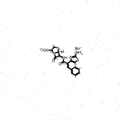 Nc1nc(/C(=C\c2ccccc2)C(=O)NC2C(=O)N3C(C(=O)[O-])CS[C@@H]23)cs1.[Na+]